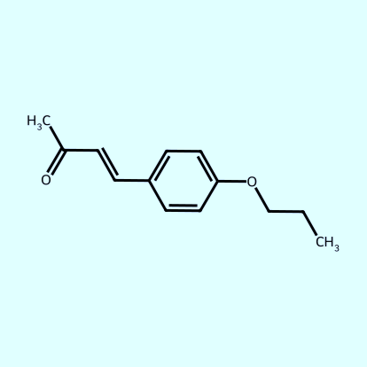 CCCOc1ccc(C=CC(C)=O)cc1